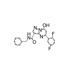 O=C(NCc1ccccc1)c1cnn2c(O)cc(-c3cc(F)ccc3F)nc12